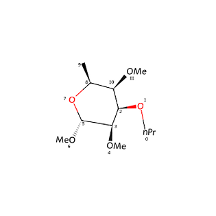 CCCO[C@H]1[C@@H](OC)[C@H](OC)O[C@@H](C)[C@H]1OC